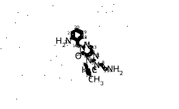 CC#CCn1c(N(C)CCN)nc2cnn(Cc3ccccc3N)c(=O)c21